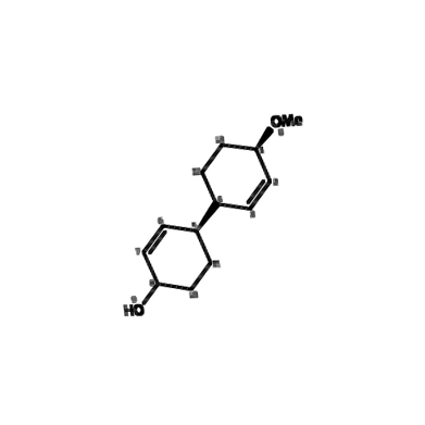 CO[C@H]1C=CC([C@@H]2C=CC(O)CC2)CC1